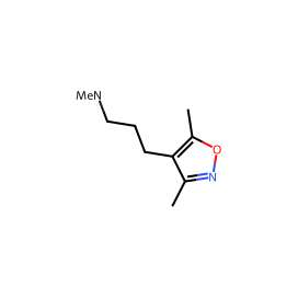 CNCCCc1c(C)noc1C